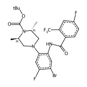 C[C@@H]1CN(c2cc(F)c(Br)cc2NC(=O)c2ccc(F)cc2C(F)(F)F)C[C@@H](C)N1C(=O)OC(C)(C)C